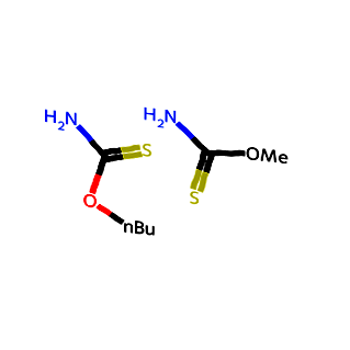 CCCCOC(N)=S.COC(N)=S